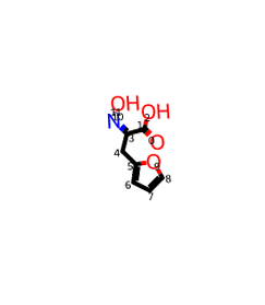 O=C(O)/C(Cc1ccco1)=N\O